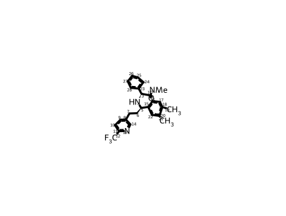 CNC(=O)[C@H](N[C@H](CCc1ccc(C(F)(F)F)nc1)c1ccc(C)c(C)c1)c1ccccc1